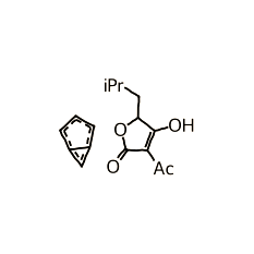 CC(=O)C1=C(O)C(CC(C)C)OC1=O.c1cc2cc-2c1